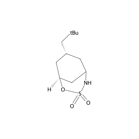 CC(C)(C)C[C@@H]1CC2C[C@H](C1)OS(=O)(=O)N2